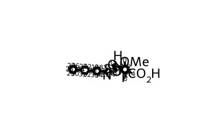 COc1cc(C(=O)O)c(F)cc1NS(=O)(=O)c1cnc(-c2ccc(C3CCC(c4ccccc4)CC3)cc2)s1